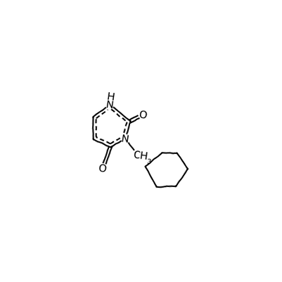 C1CCCCC1.Cn1c(=O)cc[nH]c1=O